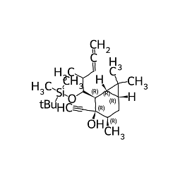 C#C[C@@]1(O)[C@H](C)C[C@@H]2[C@H]([C@@H]1C(O[Si](C)(C)C(C)(C)C)C(C)C=C=C)C2(C)C